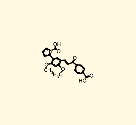 COc1cc(OC)c(-c2cccn2C(=O)O)cc1C=CC(=O)c1ccc(C(=O)O)cc1